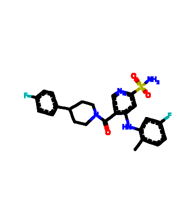 Cc1ccc(F)cc1Nc1cc(S(N)(=O)=O)ncc1C(=O)N1CCC(c2ccc(F)cc2)CC1